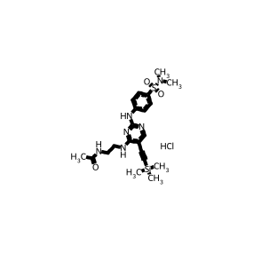 CC(=O)NCCNc1nc(Nc2ccc(S(=O)(=O)N(C)C)cc2)ncc1C#C[Si](C)(C)C.Cl